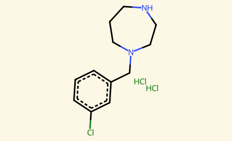 Cl.Cl.Clc1cccc(CN2CCCNCC2)c1